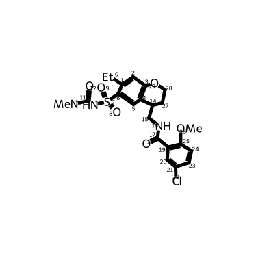 CCc1cc2c(cc1S(=O)(=O)NC(=O)NC)C(CNC(=O)c1cc(Cl)ccc1OC)CCO2